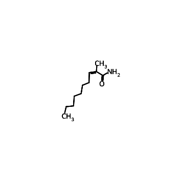 CCCCCCCC=C(C)C(N)=O